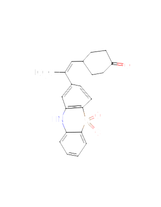 O=C1CCC(/C=C(/C(=O)O)c2ccc3c(c2)Nc2ccccc2S3(=O)=O)CC1